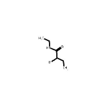 CCNC(=O)C(Br)CC